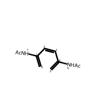 C=C(/C=C\C(=C)NC(C)=O)NC(C)=O